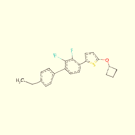 CCc1ccc(-c2ccc(-c3ccc(OC4CCC4)s3)c(F)c2F)cc1